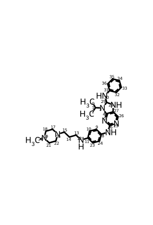 CC(C)N1c2nc(Nc3ccc(NCCCN4CCN(C)CC4)cc3)ncc2NC1Nc1ccccc1